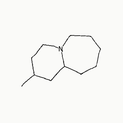 CC1CCN2CCCCCC2C1